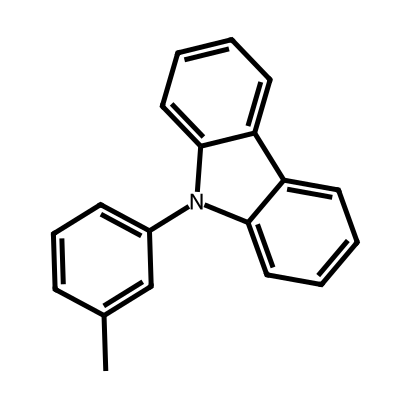 Cc1cccc(-n2c3ccccc3c3ccccc32)c1